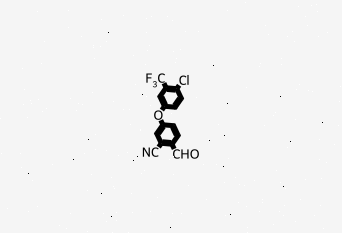 N#Cc1cc(Oc2ccc(Cl)c(C(F)(F)F)c2)ccc1C=O